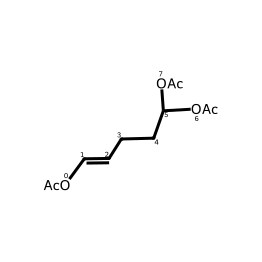 CC(=O)OC=CCCC(OC(C)=O)OC(C)=O